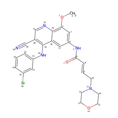 COc1cc(NC(=O)C=CCN2CCOCC2)cc2c(Nc3cccc(Br)c3)c(C#N)cnc12